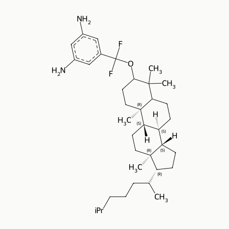 CC(C)CCCC(C)[C@H]1CC[C@H]2[C@@H]3CCC4C(C)(C)C(OC(F)(F)c5cc(N)cc(N)c5)CC[C@]4(C)[C@H]3CC[C@]12C